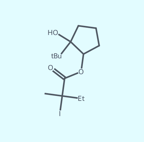 CCC(C)(I)C(=O)OC1CCCC1(O)C(C)(C)C